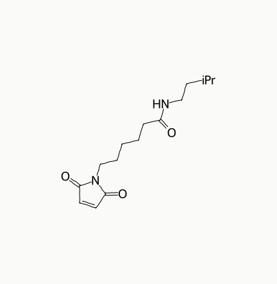 CC(C)CCNC(=O)CCCCCN1C(=O)C=CC1=O